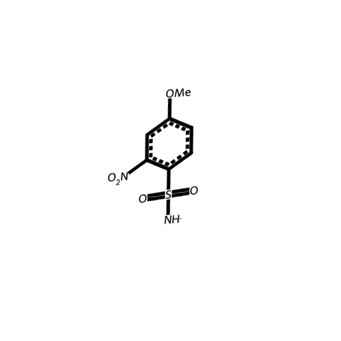 COc1ccc(S([NH])(=O)=O)c([N+](=O)[O-])c1